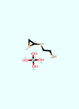 O[Si](O)(O)O.SCCSC1CS1